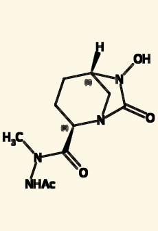 CC(=O)NN(C)C(=O)[C@H]1CC[C@H]2CN1C(=O)N2O